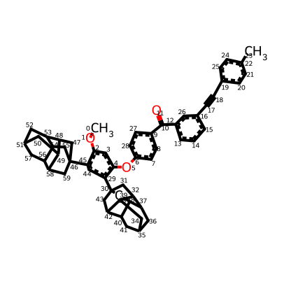 COc1cc(Oc2ccc(C(=O)c3cccc(C#Cc4ccc(C)cc4)c3)cc2)c(C23CC4C5CC6CC4C(C2)C(C6)C5C3)cc1C12CC3C4CC5CC3C(C1)C(C5)C4C2